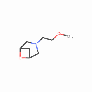 COCCN1CC2CC(C1)O2